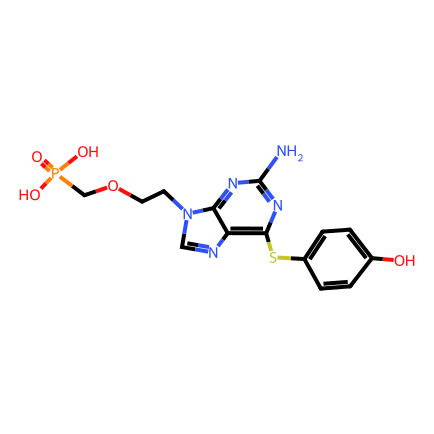 Nc1nc(Sc2ccc(O)cc2)c2ncn(CCOCP(=O)(O)O)c2n1